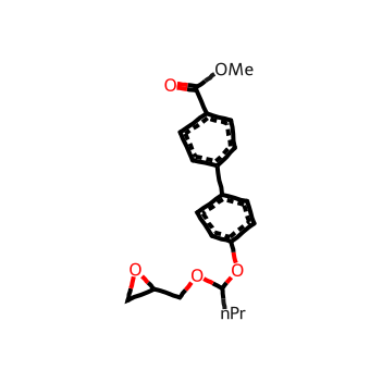 CCCC(OCC1CO1)Oc1ccc(-c2ccc(C(=O)OC)cc2)cc1